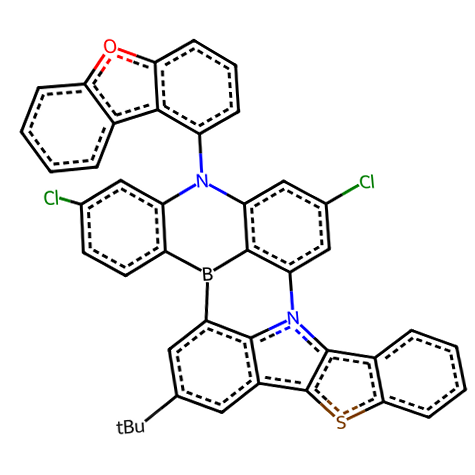 CC(C)(C)c1cc2c3c(c1)c1sc4ccccc4c1n3-c1cc(Cl)cc3c1B2c1ccc(Cl)cc1N3c1cccc2oc3ccccc3c12